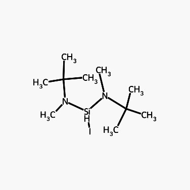 CN([SiH](I)N(C)C(C)(C)C)C(C)(C)C